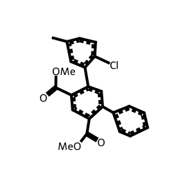 COC(=O)c1cc(C(=O)OC)c(-c2cc(C)ccc2Cl)cc1-c1ccccc1